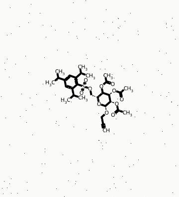 C#CCO[C@@H]1O[C@H](COS(=O)(=O)c2c(C(C)C)cc(C(C)C)cc2C(C)C)C(OC(C)=O)[C@H](OC(C)=O)[C@@H]1OC(C)=O